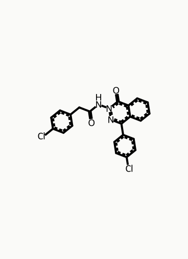 O=C(Cc1ccc(Cl)cc1)Nn1nc(-c2ccc(Cl)cc2)c2ccccc2c1=O